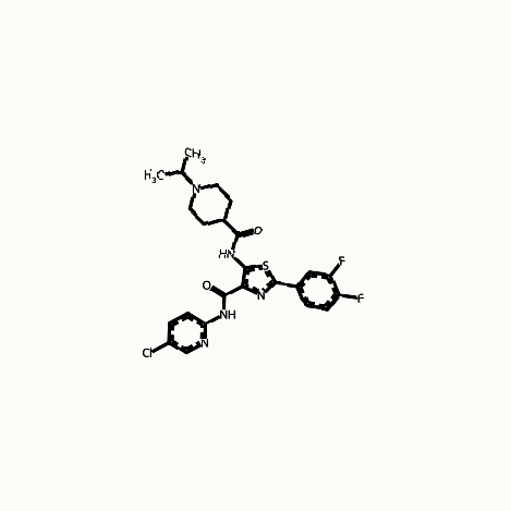 CC(C)N1CCC(C(=O)Nc2sc(-c3ccc(F)c(F)c3)nc2C(=O)Nc2ccc(Cl)cn2)CC1